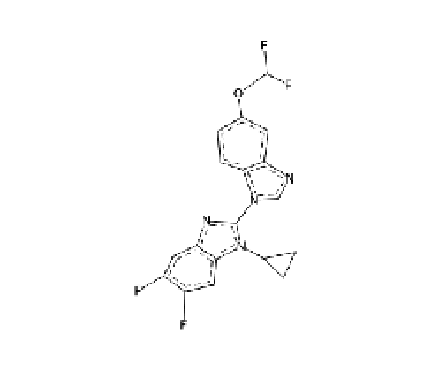 Fc1cc2nc(-n3cnc4cc(OC(F)F)ccc43)n(C3CC3)c2cc1F